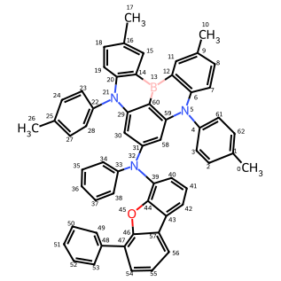 Cc1ccc(N2c3ccc(C)cc3B3c4cc(C)ccc4N(c4ccc(C)cc4)c4cc(N(c5ccccc5)c5cccc6c5oc5c(-c7ccccc7)cccc56)cc2c43)cc1